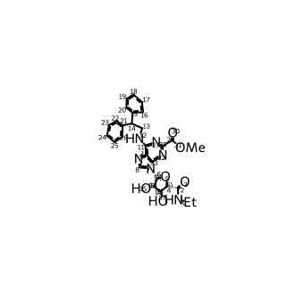 CCNC(=O)[C@H]1O[C@@H](n2cnc3c(NCC(c4ccccc4)c4ccccc4)nc(C(=O)OC)nc32)[C@@H](O)[C@@H]1O